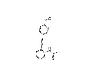 CC(=O)Nc1ccccc1C#Cc1ccc(C=O)cc1